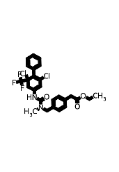 CCOC(=O)Cc1ccc(CN(C)C(=O)NC2=CC(Cl)=C(c3ccccc3)C(Cl)(C(F)(F)F)C2)cc1